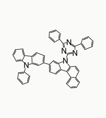 c1ccc(-c2nc(-c3ccccc3)nc(-n3c4cc(-c5ccc6c7ccccc7n(-c7ccccc7)c6c5)ccc4c4c5ccccc5ccc43)n2)cc1